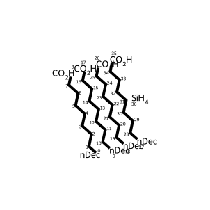 CCCCCCCCCCCCCCCCCC(=O)O.CCCCCCCCCCCCCCCCCC(=O)O.CCCCCCCCCCCCCCCCCC(=O)O.CCCCCCCCCCCCCCCCCC(=O)O.[SiH4]